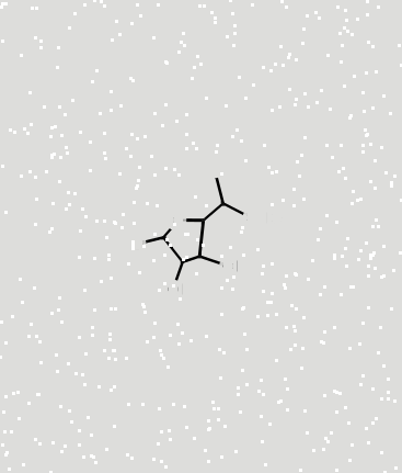 CC(C=O)C1OC(O)C(O)C1O